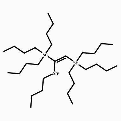 CCC[CH2][Sn][C](=[CH][Sn]([CH2]CCC)([CH2]CCC)[CH2]CCC)[Sn]([CH2]CCC)([CH2]CCC)[CH2]CCC